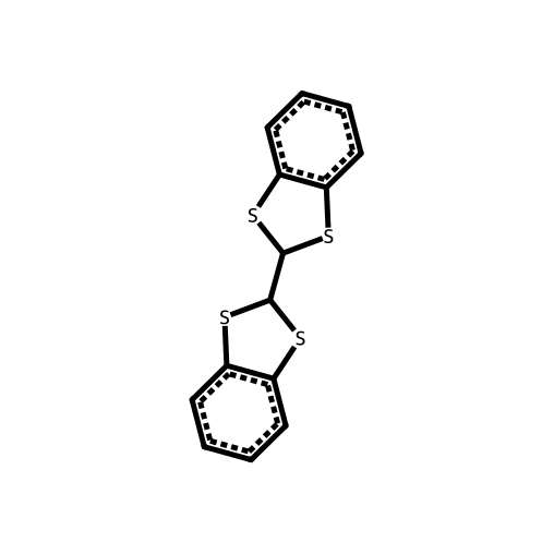 c1ccc2c(c1)SC(C1Sc3ccccc3S1)S2